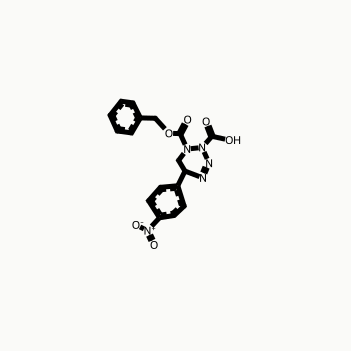 O=C(OCc1ccccc1)N1CC(c2ccc([N+](=O)[O-])cc2)N=NN1C(=O)O